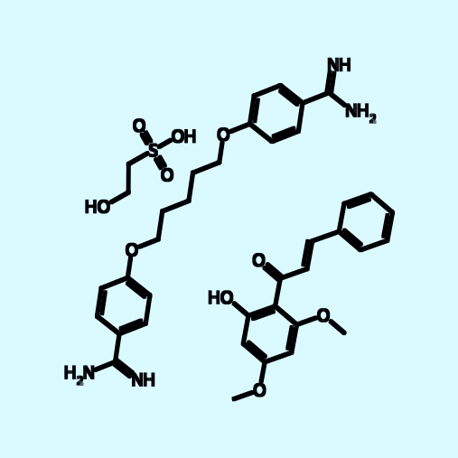 COc1cc(O)c(C(=O)C=Cc2ccccc2)c(OC)c1.N=C(N)c1ccc(OCCCCCOc2ccc(C(=N)N)cc2)cc1.O=S(=O)(O)CCO